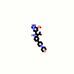 COc1cc(-c2[nH]c3ccc(C4CCN(C5CCOCC5)CC4)cc3c2C(C)C)cn2cnnc12